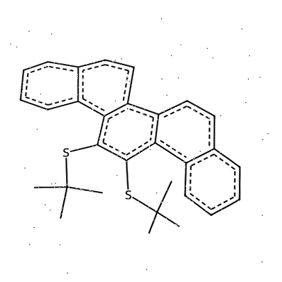 CC(C)(C)Sc1c(SC(C)(C)C)c2c3ccccc3ccc2c2ccc3ccccc3c12